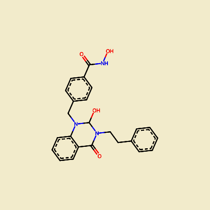 O=C(NO)c1ccc(CN2c3ccccc3C(=O)N(CCc3ccccc3)C2O)cc1